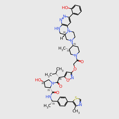 Cc1ncsc1-c1ccc([C@H](C)NC(=O)[C@@H]2C[C@@H](O)CN2C(=O)[C@@H](c2cc(OCC(=O)N3CC[C@H](N4CCN5c6cc(-c7ccccc7O)nnc6NC[C@H]5C4)[C@@H](C)C3)no2)C(C)C)cc1